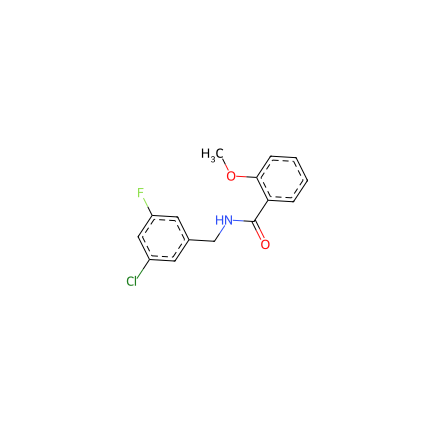 COc1ccccc1C(=O)NCc1cc(F)cc(Cl)c1